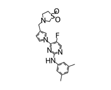 Cc1cc(C)cc(Nc2ncc(F)c(-n3ccc(CN4CCS(=O)(=O)C4)c3)n2)c1